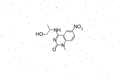 CC(CO)Nc1nc(=O)n(C)c2ccc([N+](=O)[O-])cc12